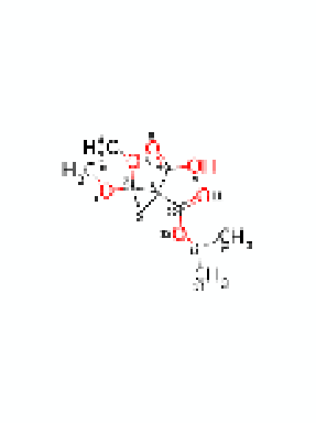 COC1(OC)CC1(C(=O)O)C(=O)OC(C)C